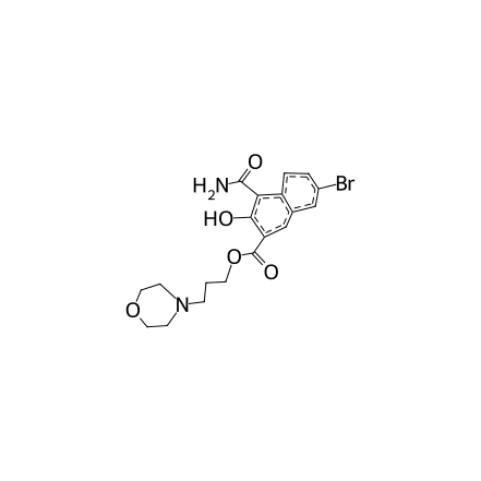 NC(=O)c1c(O)c(C(=O)OCCCN2CCOCC2)cc2cc(Br)ccc12